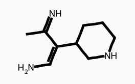 CC(=N)/C(=C\N)C1CCCNC1